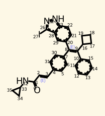 O=C(/C=C/c1ccc(/C(=C(\c2ccccc2)C2CCC2)c2ccc3[nH]nc(I)c3c2)cc1)NC1CC1